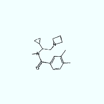 Cc1ccc(C(=O)N(C)C(CN2CCC2)C2CC2)cc1C